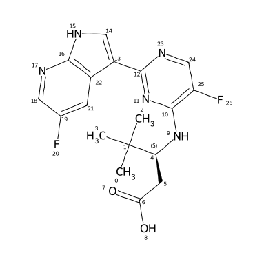 CC(C)(C)[C@H](CC(=O)O)Nc1nc(-c2c[nH]c3ncc(F)cc23)ncc1F